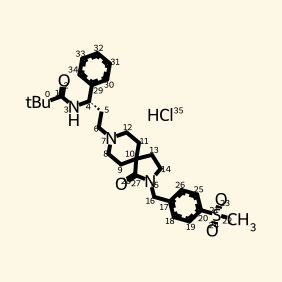 CC(C)(C)C(=O)N[C@@H](CCN1CCC2(CC1)CCN(Cc1ccc(S(C)(=O)=O)cc1)C2=O)c1ccccc1.Cl